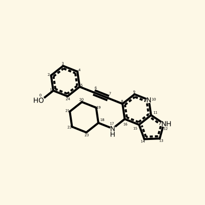 Oc1cccc(C#Cc2cnc3[nH]ccc3c2NC2CCCCC2)c1